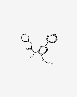 CC(C)N(C(=O)CC1CCCCC1)c1nn(-c2ccccc2)cc1OC(=O)O